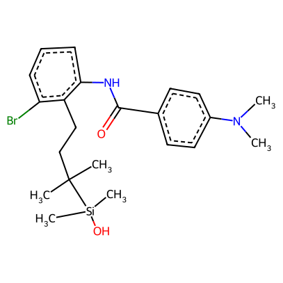 CN(C)c1ccc(C(=O)Nc2cccc(Br)c2CCC(C)(C)[Si](C)(C)O)cc1